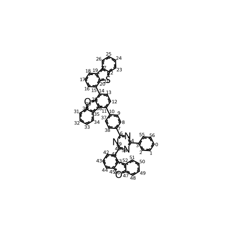 c1ccc(-c2nc(-c3ccc(-c4ccc(-c5cccc6c5sc5ccccc56)c5oc6ccccc6c45)cc3)nc(-c3cccc4oc5ccccc5c34)n2)cc1